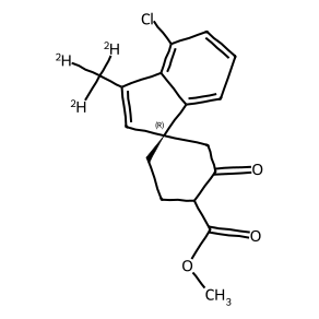 [2H]C([2H])([2H])C1=C[C@]2(CCC(C(=O)OC)C(=O)C2)c2cccc(Cl)c21